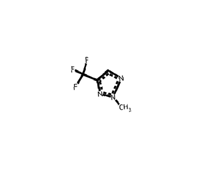 Cn1ncc(C(F)(F)F)n1